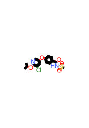 CC(C)Oc1ncc(Oc2ccc(C(=O)NS(C)(=O)=O)cc2)cc1Cl